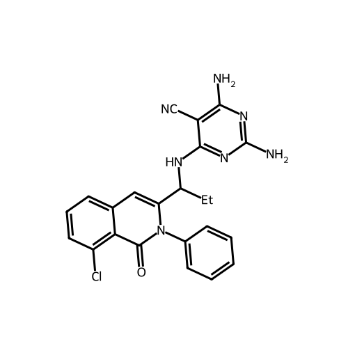 CCC(Nc1nc(N)nc(N)c1C#N)c1cc2cccc(Cl)c2c(=O)n1-c1ccccc1